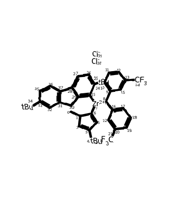 CC1C=C(C(C)(C)C)C=[C]1[Zr+2](=[C](c1cccc(C(F)(F)F)c1)c1cccc(C(F)(F)F)c1)[c]1c(C(C)(C)C)ccc2c1Cc1cc(C(C)(C)C)ccc1-2.[Cl-].[Cl-]